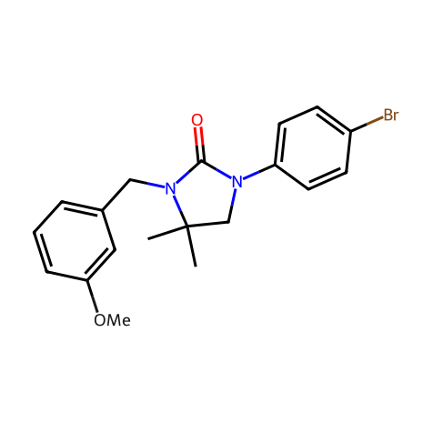 COc1cccc(CN2C(=O)N(c3ccc(Br)cc3)CC2(C)C)c1